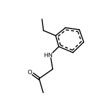 CCc1ccccc1NCC(C)=O